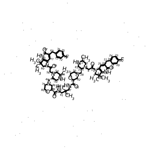 C[C@@H]1CN(CC(=O)N2CC(C)(C)c3[nH]c(=O)c(Cc4ccc(F)cc4)cc32)[C@@H](CN2CCO[C@H](C(=O)NCC(C)(C)CNC(=O)[C@@H]3CN(C[C@H]4CN[C@H](C)CN4CC(=O)N4CC(C)(C)c5[nH]c(=O)c(Cc6ccc(F)cc6)cc54)CCO3)C2)CN1